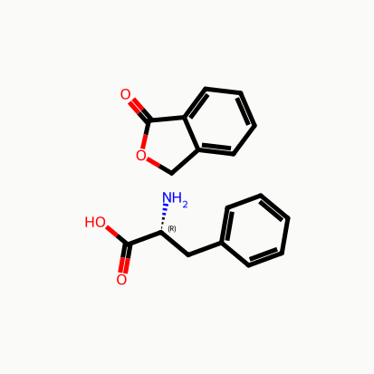 N[C@H](Cc1ccccc1)C(=O)O.O=C1OCc2ccccc21